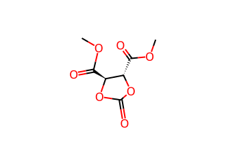 COC(=O)[C@@H]1OC(=O)O[C@H]1C(=O)OC